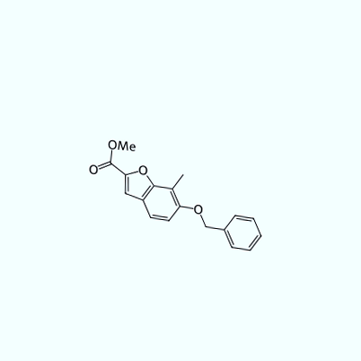 COC(=O)c1cc2ccc(OCc3ccccc3)c(C)c2o1